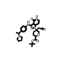 CC(c1ccc(Nc2nn(C3(CC#N)CCC(C(=O)OC(C)(C)C)OC3)c3cc[nH]c(=O)c23)cc1)N1CCCC1